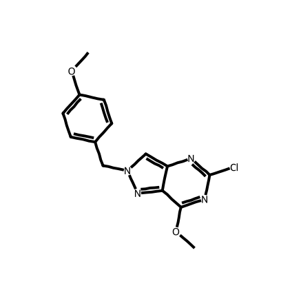 COc1ccc(Cn2cc3nc(Cl)nc(OC)c3n2)cc1